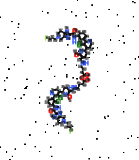 COc1nc(-c2ccnc(-c3cccc(NC(=O)c4nc5c(n4C)CCN(CCCF)C5)c3Cl)c2Cl)ccc1CNCCCC(=O)OC(=O)CCCNCc1ccc(-c2ccnc(-c3cccc(NC(=O)c4nc5c(n4C)CCN(CCCF)C5)c3Cl)c2Cl)nc1OC